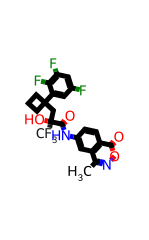 Cc1noc(=O)c2ccc(NC(=O)C(O)(CC3(c4cc(F)cc(F)c4F)CCC3)C(F)(F)F)cc12